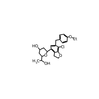 CCOc1ccc(Cc2cc(C3CC(O)CC(C(C)O)O3)c3c(c2Cl)OCC3)cc1